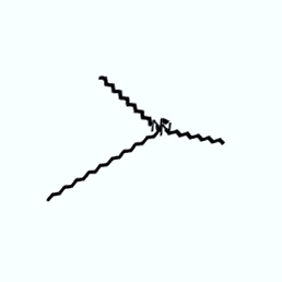 CCCCCCCCCCCCCCCCCCCC1N(CCCCCCCCCCC)C=CN1CCCCCCCCCCCCCCC